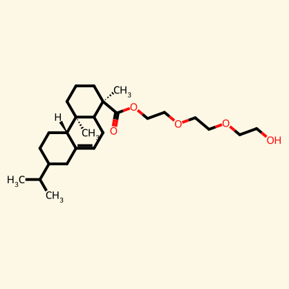 CC(C)C1CC[C@H]2C(=CCC3[C@](C)(C(=O)OCCOCCOCCO)CCC[C@@]32C)C1